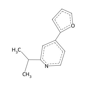 CC(C)c1cc(-c2ccco2)ccn1